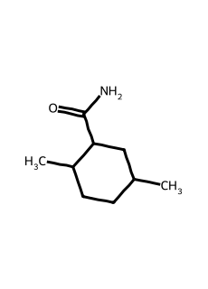 CC1CCC(C)C(C(N)=O)C1